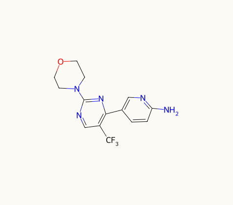 Nc1ccc(-c2nc(N3CCOCC3)ncc2C(F)(F)F)cn1